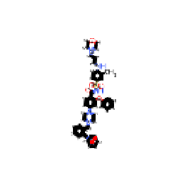 Cc1cc(S(=O)(=O)NC(=O)c2ccc(N3CCN(Cc4ccccc4N4CC5CCC(CC5)C4)CC3)cc2Oc2ccccc2)ccc1NCCCN1CCOCC1